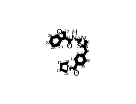 O=C(Nc1ncc(Cc2ccc(C(=O)N3CCCC3)cc2)s1)c1coc2ccccc12